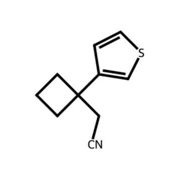 N#CCC1(c2ccsc2)CCC1